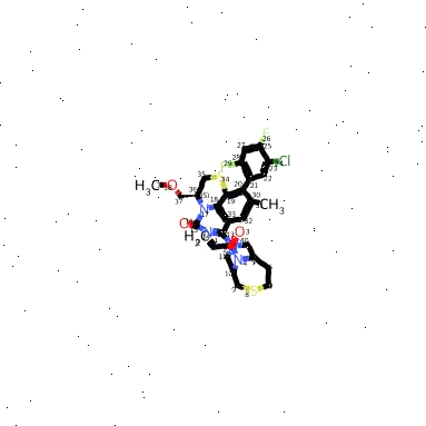 C=CC(=O)N1C2CCSCC1CN(c1nc(=O)n3c4c(c(-c5cc(Cl)c(F)cc5F)c(C)cc14)SC[C@@H]3COC)C2